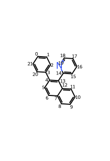 c1ccc(-c2ccc3ccccc3c2-c2ccccn2)cc1